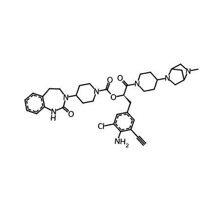 C#Cc1cc(C[C@@H](OC(=O)N2CCC(N3CCc4ccccc4NC3=O)CC2)C(=O)N2CCC(N3CC4CC3CN4C)CC2)cc(Cl)c1N